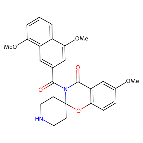 COc1ccc2c(c1)C(=O)N(C(=O)c1cc(OC)c3cccc(OC)c3c1)C1(CCNCC1)O2